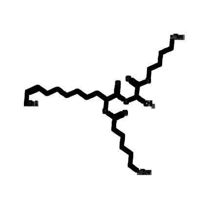 CCCCCCCC/C=C\CCCCCCC(OC(=O)CCCCCCCCCCCCCCC)C(=O)OC(C)C(=O)OCCCCCCCCCCCCCC